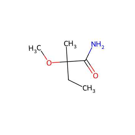 CCC(C)(OC)C(N)=O